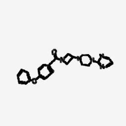 O=C(c1ccc(Oc2ccccc2)cc1)N1CC(N2CCN(c3ncccn3)CC2)C1